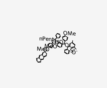 CCCCCC(=O)c1ccccc1.COc1ccc(C(=O)c2ccc(OC)cc2)cc1.COc1ccc(C=O)cc1.Cc1cc(C)c2c(c1)Cc1ccccc1[S+]2[O-].O=C1C=c2cc3ccccc3cc2=CC1